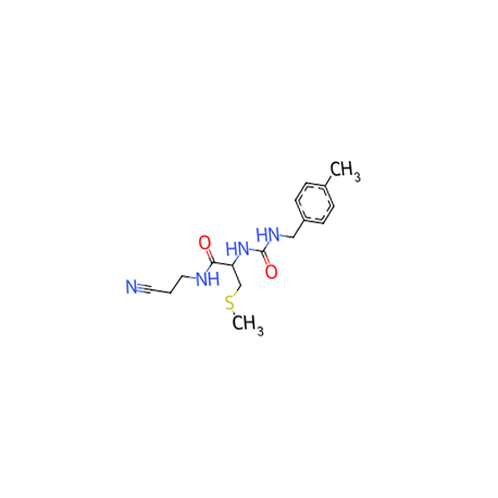 CSCC(NC(=O)NCc1ccc(C)cc1)C(=O)NCCC#N